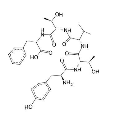 CC(C)[C@H](NC(=O)[C@@H](NC(=O)[C@@H](N)Cc1ccc(O)cc1)[C@@H](C)O)C(=O)N[C@H](C(=O)N[C@@H](Cc1ccccc1)C(=O)O)[C@@H](C)O